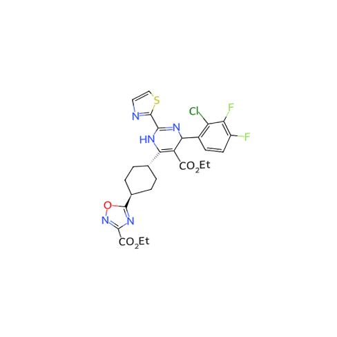 CCOC(=O)C1=C([C@H]2CC[C@H](c3nc(C(=O)OCC)no3)CC2)NC(c2nccs2)=NC1c1ccc(F)c(F)c1Cl